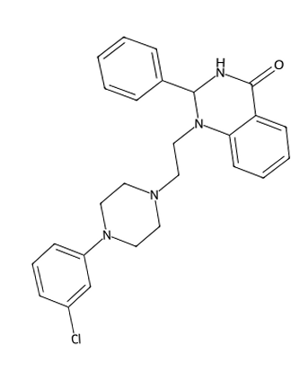 O=C1NC(c2ccccc2)N(CCN2CCN(c3cccc(Cl)c3)CC2)c2ccccc21